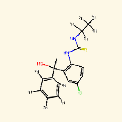 [2H]c1c([2H])c([2H])c(C(C)(O)c2cc(Cl)ccc2NC(=S)NC([2H])([2H])C([2H])([2H])[2H])c([2H])c1[2H]